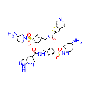 NC1CCC(NS(=O)(=O)c2ccc(CNC(=O)c3cnc4[nH]ncc4c3)cc2)CC1.NC1CCN(S(=O)(=O)c2ccc(CNC(=O)c3cc4ccncc4s3)cc2)C1